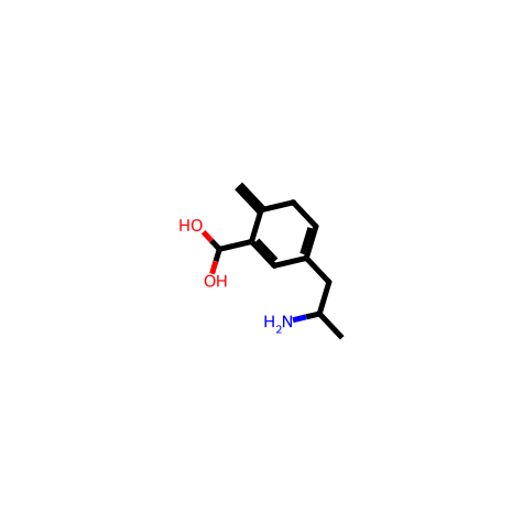 C=C1CC=C(CC(C)N)C=C1C(O)O